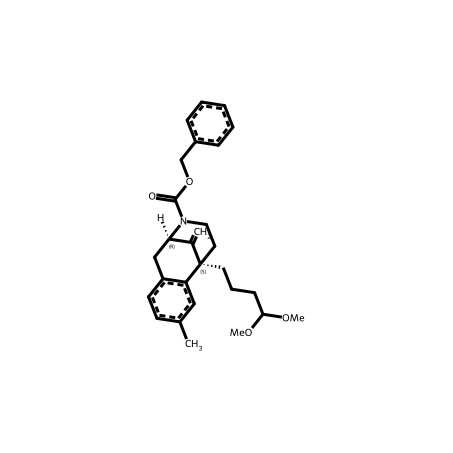 C=C1[C@H]2Cc3ccc(C)cc3[C@]1(CCCC(OC)OC)CCN2C(=O)OCc1ccccc1